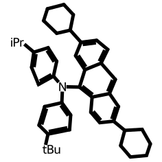 CC(C)c1ccc(N(c2ccc(C(C)(C)C)cc2)c2c3ccc(C4CCCCC4)cc3cc3ccc(C4CCCCC4)cc23)cc1